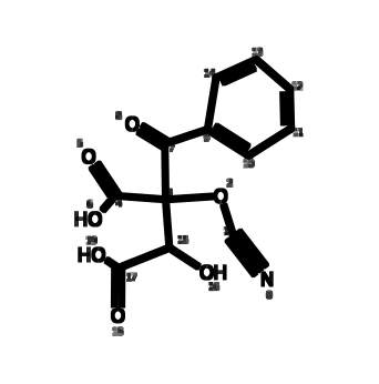 N#COC(C(=O)O)(C(=O)c1ccccc1)C(O)C(=O)O